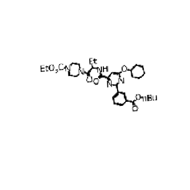 CCCCOC(=O)c1cccc(-c2nc(OC3CCCCC3)cc(C(=O)NC(CC)C(=O)N3CCN(C(=O)OCC)CC3)n2)c1